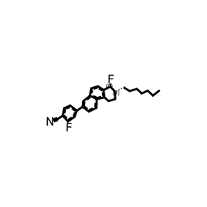 CCCCCCC[C@@H]1CCc2c(ccc3cc(-c4ccc(C#N)c(F)c4)ccc23)[C@H]1F